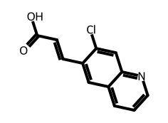 O=C(O)/C=C/c1cc2cccnc2cc1Cl